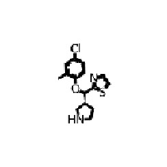 Cc1cc(Cl)ccc1OC(c1nccs1)[C@H]1CCNC1